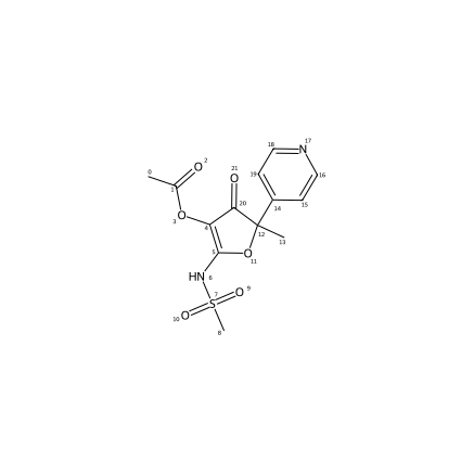 CC(=O)OC1=C(NS(C)(=O)=O)OC(C)(c2ccncc2)C1=O